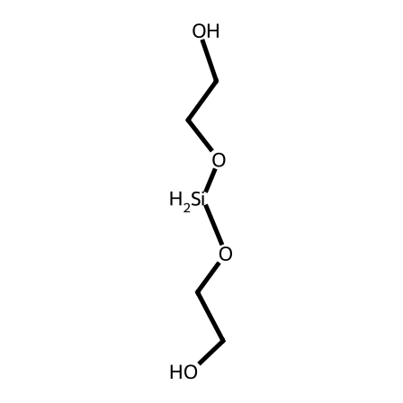 OCCO[SiH2]OCCO